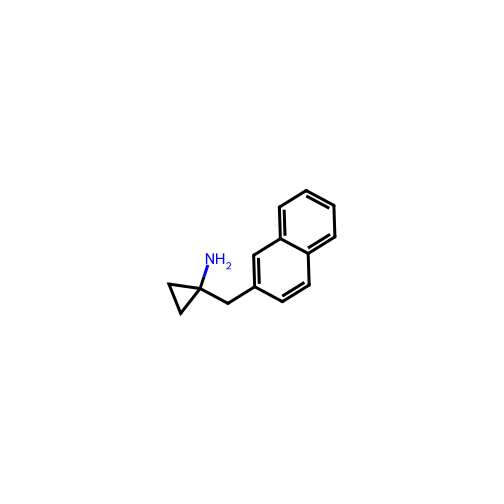 NC1(Cc2ccc3ccccc3c2)CC1